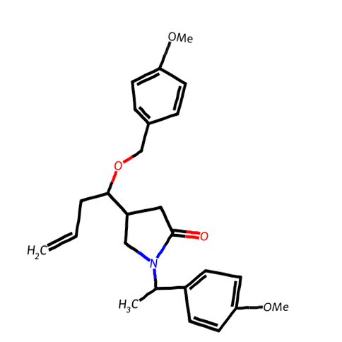 C=CCC(OCc1ccc(OC)cc1)C1CC(=O)N(C(C)c2ccc(OC)cc2)C1